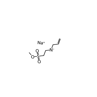 C=CC[N-]CCS(=O)(=O)OC.[Na+]